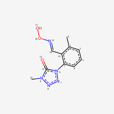 Cc1cccc(-n2nnn(C)c2=O)c1C=NOO